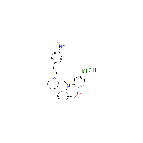 CN(C)c1ccc(CCN2CCCC[C@H]2CN2c3ccccc3COc3ccccc32)cc1.Cl.Cl